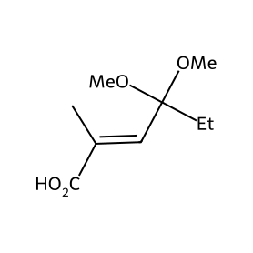 CCC(C=C(C)C(=O)O)(OC)OC